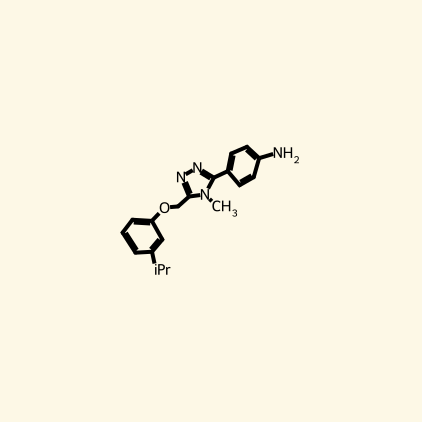 CC(C)c1cccc(OCc2nnc(-c3ccc(N)cc3)n2C)c1